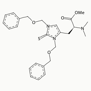 COC(=O)[C@H](Cc1cn(COCc2ccccc2)c(=S)n1COCc1ccccc1)N(C)C